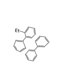 CCc1ccccc1-c1ccccc1.c1ccc(-c2ccccc2)cc1